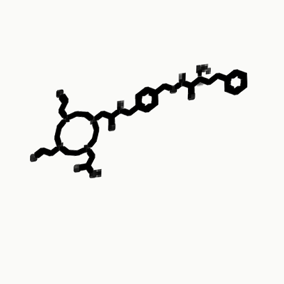 N[C@H](CCc1ccccc1)C(=O)NOCc1ccc(CNC(=O)CN2CCN(CC=O)CCN(CC=O)CCN(CC(=O)O)CC2)cc1